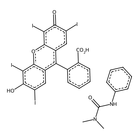 CN(C)C(=O)Nc1ccccc1.O=C(O)c1ccccc1-c1c2cc(I)c(=O)c(I)c-2oc2c(I)c(O)c(I)cc12